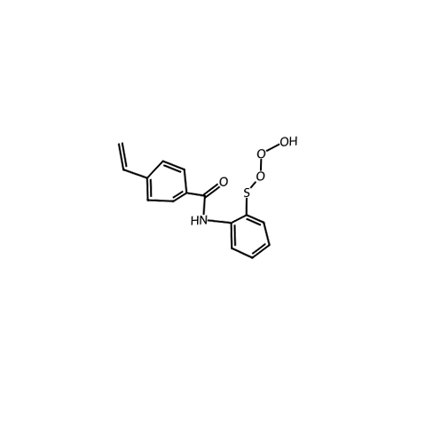 C=Cc1ccc(C(=O)Nc2ccccc2SOOO)cc1